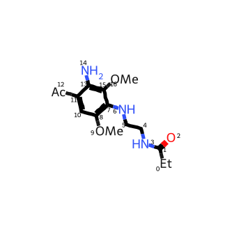 CCC(=O)NCCNc1c(OC)cc(C(C)=O)c(N)c1OC